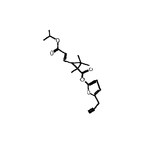 C#CCc1ccc(OC(=O)C2(C)C(C=CC(=O)OC(C)C)C2(C)C)o1